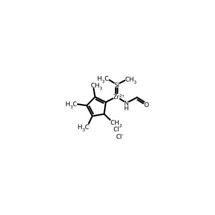 CC1=C(C)C(C)[C]([Zr+2]([NH]C=O)=[Si](C)C)=C1C.[Cl-].[Cl-]